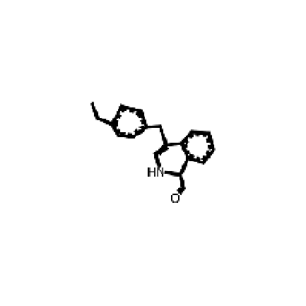 CCc1ccc(CC2=CNC(C=O)c3ccccc32)cc1